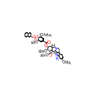 COC(=O)[C@H]1[C@H]2C[C@@H]3c4[nH]c5cc(OC)ccc5c4CCN3C[C@H]2C[C@@H](OC(=O)c2cc(OC)c(OC(=O)OCc3ccc4ccccc4c3)c(OC)c2)[C@@H]1OC